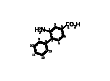 Nc1cc(C(=O)O)ccc1-c1c[c]ccc1